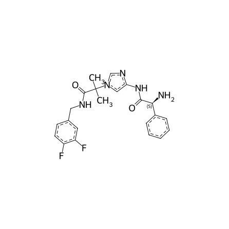 CC(C)(C(=O)NCc1ccc(F)c(F)c1)n1cnc(NC(=O)[C@@H](N)c2ccccc2)c1